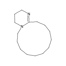 C1CCCCCC2=NCCCN2CCCCC1